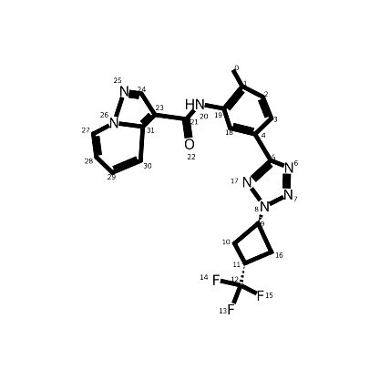 Cc1ccc(-c2nnn([C@H]3C[C@@H](C(F)(F)F)C3)n2)cc1NC(=O)c1cnn2ccccc12